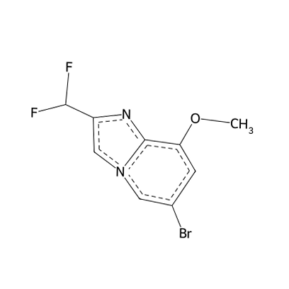 COc1cc(Br)cn2cc(C(F)F)nc12